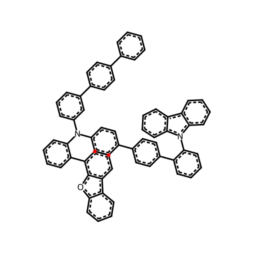 c1ccc(-c2ccc(-c3cccc(N(c4ccc(-c5ccc(-c6ccccc6-n6c7ccccc7c7ccccc76)cc5)cc4)c4ccccc4-c4cccc5c4oc4ccccc45)c3)cc2)cc1